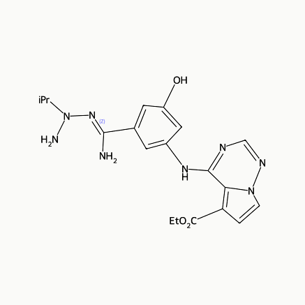 CCOC(=O)c1ccn2ncnc(Nc3cc(O)cc(/C(N)=N/N(N)C(C)C)c3)c12